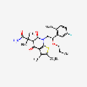 CCOC(=O)c1sc2c(c1C)C(=O)C(C(C)(C)C(N)=O)C(=O)N2C[C@H](OCCC#N)c1cc(F)ccc1OC